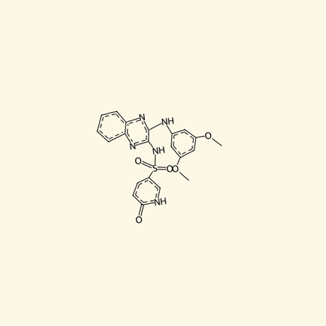 COc1cc(Nc2nc3ccccc3nc2NS(=O)(=O)c2ccc(=O)[nH]c2)cc(OC)c1